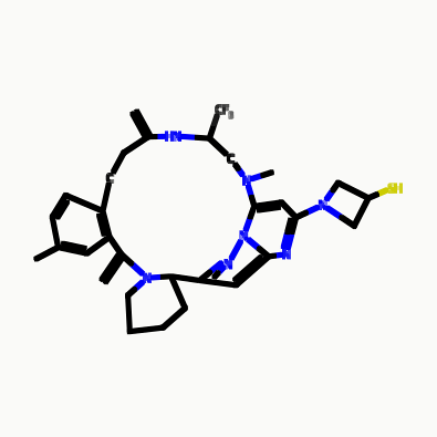 C=C1CCc2ccc(C)cc2C(=C)N2CCCCC2c2cc3nc(N4CC(S)C4)cc(n3n2)N(C)CC(C(F)(F)F)N1